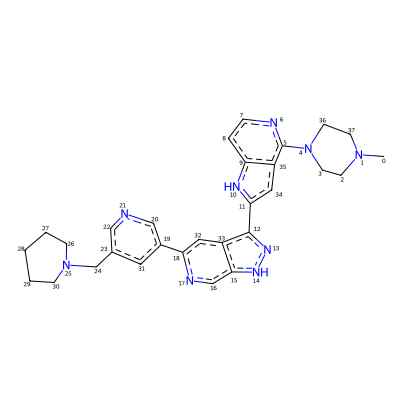 CN1CCN(c2nccc3[nH]c(-c4n[nH]c5cnc(-c6cncc(CN7CCCCC7)c6)cc45)cc23)CC1